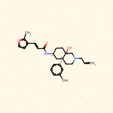 C=CCN1CC[C@@]2(c3cccc(OC(C)=O)c3)C[C@@H](NC(=O)C=Cc3ccoc3C)CC[C@]2(O)C1